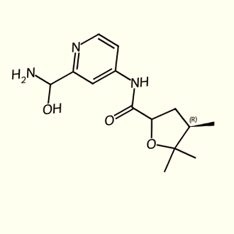 C[C@@H]1CC(C(=O)Nc2ccnc(C(N)O)c2)OC1(C)C